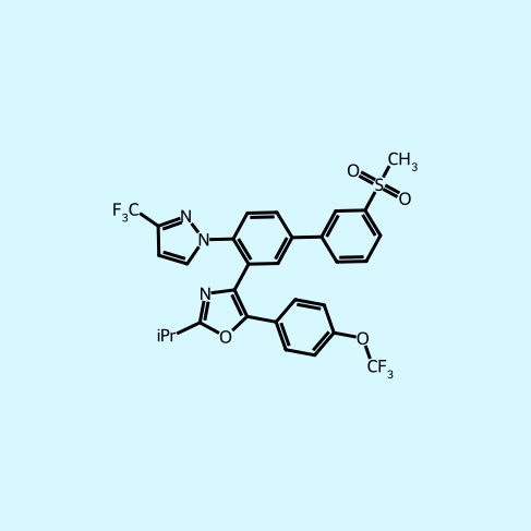 CC(C)c1nc(-c2cc(-c3cccc(S(C)(=O)=O)c3)ccc2-n2ccc(C(F)(F)F)n2)c(-c2ccc(OC(F)(F)F)cc2)o1